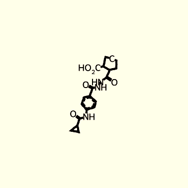 O=C(NNC(=O)C1CCCCC1C(=O)O)c1ccc(NC(=O)C2CC2)cc1